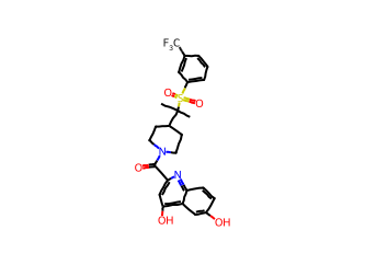 CC(C)(C1CCN(C(=O)c2cc(O)c3cc(O)ccc3n2)CC1)S(=O)(=O)c1cccc(C(F)(F)F)c1